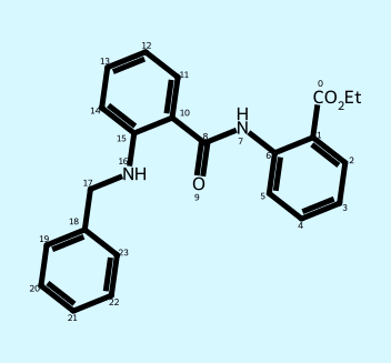 CCOC(=O)c1ccccc1NC(=O)c1ccccc1NCc1ccccc1